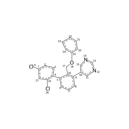 Clc1ccc(-c2cccc(-c3cncnc3)c2COc2ccccc2)c(Cl)c1